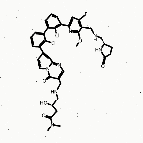 COc1nc(-c2cccc(-c3cccc(-c4ccn5c(=O)c(CNC[C@H](O)CC(=O)N(C)C)cnc5c4)c3Cl)c2Cl)cc(F)c1CNC[C@H]1CCC(=O)N1